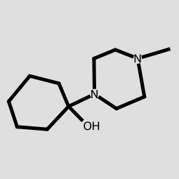 CN1CCN(C2(O)CCCCC2)CC1